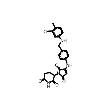 Cc1ccc(NCc2ccc(NC3=CC(=O)N(C4CCC(=O)NC4=O)C3=O)cc2)cc1Cl